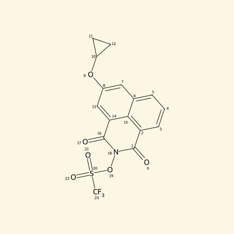 O=C1c2cccc3cc(OC4CC4)cc(c23)C(=O)N1OS(=O)(=O)C(F)(F)F